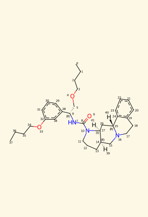 CCCCOC[C@H](NC(=O)N1CCC[C@@H]2CN3CCc4ccccc4[C@H]3C[C@@H]21)c1cccc(OCCCC)c1